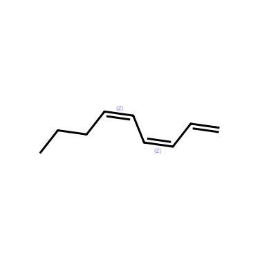 C=C/C=C\C=C/CCC